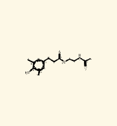 CC(=O)NCCOC(=O)CCc1cc(C)c(O)c(C)c1